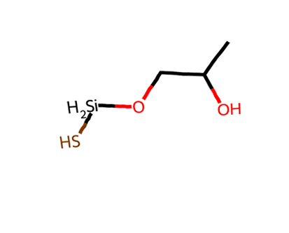 CC(O)CO[SiH2]S